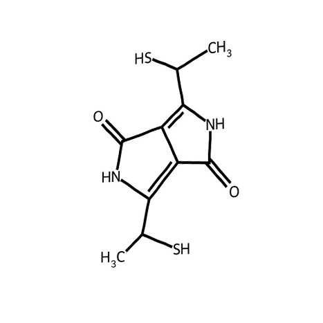 CC(S)C1=C2C(=O)NC(C(C)S)=C2C(=O)N1